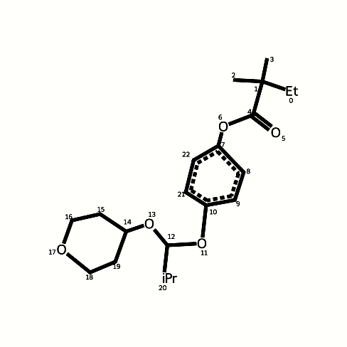 CCC(C)(C)C(=O)Oc1ccc(OC(OC2CCOCC2)C(C)C)cc1